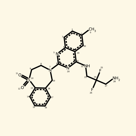 Cc1ccc2nc(N3CCS(=O)(=O)c4ccccc4C3)nc(NCC(F)(F)CN)c2c1